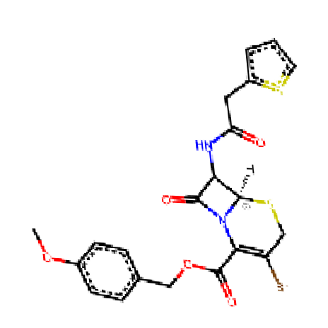 COc1ccc(COC(=O)C2=C(Br)CS[C@@H]3C(NC(=O)Cc4cccs4)C(=O)N23)cc1